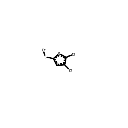 CCSc1cc(Cl)c(Cl)s1